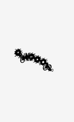 CCOC(=O)CC1CCC(c2ccc(-c3ccc4nc(C(=O)NCc5ccccc5)cn4c3)cc2)CC1